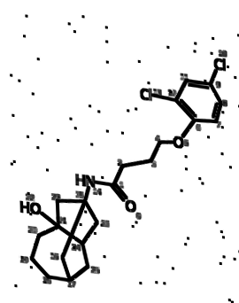 O=C(CCCOc1ccc(Cl)cc1Cl)NC12CC3CCCC(O)(C1)C(C3)C2